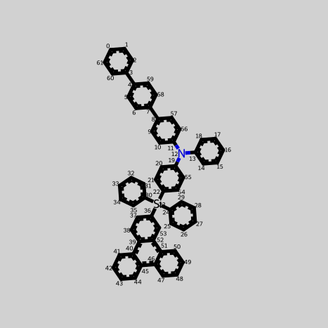 c1ccc(-c2ccc(-c3ccc(N(c4ccccc4)c4ccc([Si](c5ccccc5)(c5ccccc5)c5ccc6c7ccccc7c7ccccc7c6c5)cc4)cc3)cc2)cc1